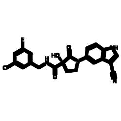 N#Cc1c[nH]c2ccc(N3CC[C@](O)(C(=O)NCc4cc(F)cc(Cl)c4)C3=O)cc12